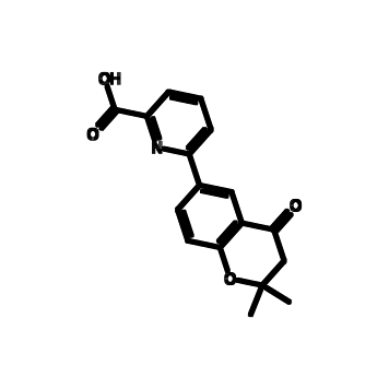 CC1(C)CC(=O)c2cc(-c3cccc(C(=O)O)n3)ccc2O1